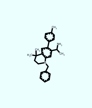 Cc1ccc(-c2cc3c(cc2C(C)N)N(Cc2ccccc2)CCC3(C)C)cc1